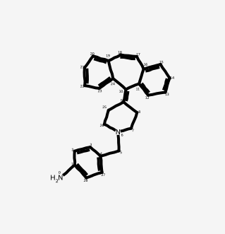 Nc1ccc(CN2CCC(=C3c4ccccc4C=Cc4ccccc43)CC2)cc1